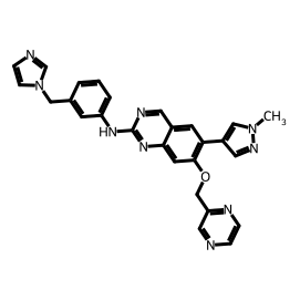 Cn1cc(-c2cc3cnc(Nc4cccc(Cn5ccnc5)c4)nc3cc2OCc2cnccn2)cn1